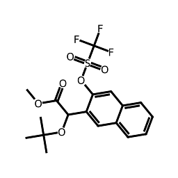 COC(=O)C(OC(C)(C)C)c1cc2ccccc2cc1OS(=O)(=O)C(F)(F)F